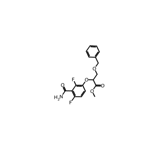 COC(=O)C(COCc1ccccc1)Oc1ccc(F)c(C(N)=O)c1F